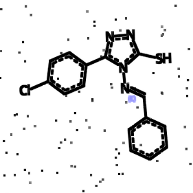 Sc1nnc(-c2ccc(Cl)cc2)n1/N=C/c1ccccc1